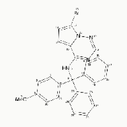 COc1ccc(C(Nc2ncnn3c(Br)ccc23)(c2ccccc2)c2ccccc2)cc1